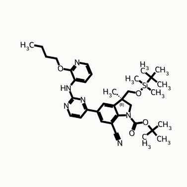 CCCCOc1ncccc1Nc1nccc(-c2cc(C#N)c3c(c2)[C@@](C)(CO[Si](C)(C)C(C)(C)C)CN3C(=O)OC(C)(C)C)n1